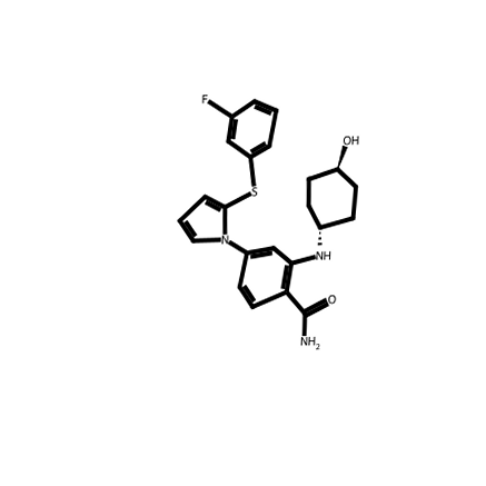 NC(=O)c1ccc(-n2cccc2Sc2cccc(F)c2)cc1N[C@H]1CC[C@H](O)CC1